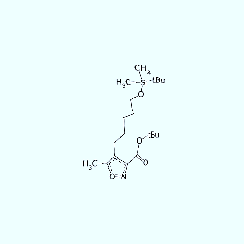 Cc1onc(C(=O)OC(C)(C)C)c1CCCCCO[Si](C)(C)C(C)(C)C